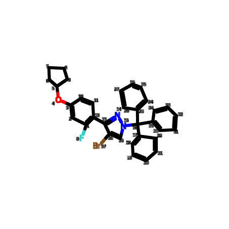 Fc1cc(OC2CCCC2)ccc1-c1nn(C(c2ccccc2)(c2ccccc2)c2ccccc2)cc1Br